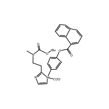 CN(CCC1=NC=C[N+]1(C(=O)[O-])c1ccc(OC(=O)c2cccc3ccccc23)cc1)C(=O)OC(C)(C)C